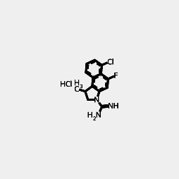 CC1CN(C(=N)N)c2cc(F)c3c(Cl)cccc3c21.Cl